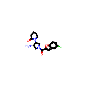 N[C@H]1CN(C(=O)c2cc3cc(Cl)ccc3o2)C[C@@H]1N1CCCCC1=O